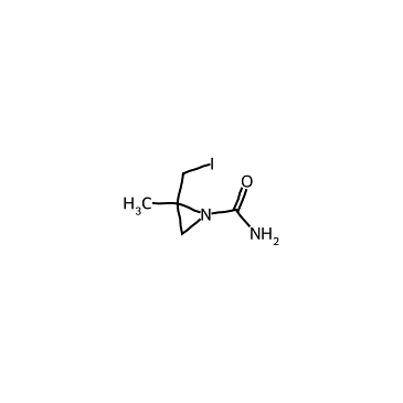 CC1(CI)CN1C(N)=O